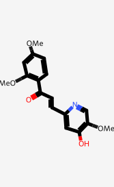 COc1ccc(C(=O)/C=C/c2cc(O)c(OC)cn2)c(OC)c1